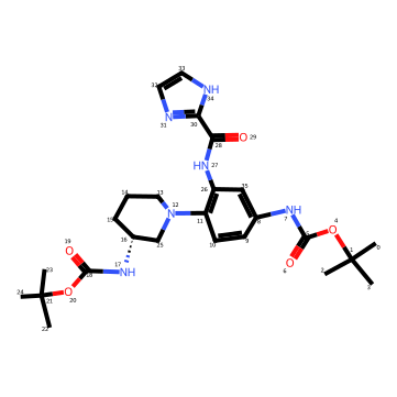 CC(C)(C)OC(=O)Nc1ccc(N2CCC[C@@H](NC(=O)OC(C)(C)C)C2)c(NC(=O)c2ncc[nH]2)c1